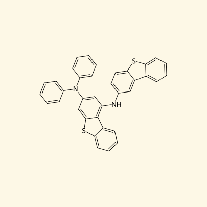 c1ccc(N(c2ccccc2)c2cc(Nc3ccc4sc5ccccc5c4c3)c3c(c2)sc2ccccc23)cc1